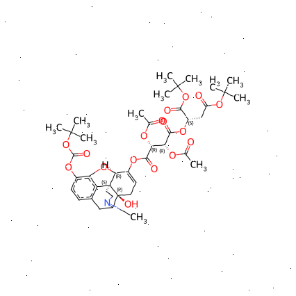 CC(=O)O[C@@H](C(=O)OC1=CC[C@]2(O)C3Cc4ccc(OC(=O)OC(C)(C)C)c5c4[C@@]2(CCN3C)[C@H]1O5)[C@@H](OC(C)=O)C(=O)O[C@@H](CC(=O)OC(C)(C)C)C(=O)OC(C)(C)C